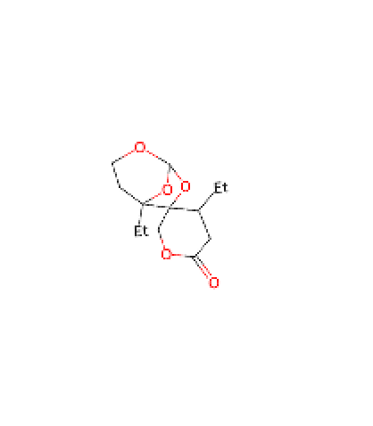 CCC1CC(=O)OCC12OC1OCCC2(CC)O1